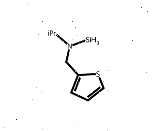 CC(C)N([SiH3])Cc1cccs1